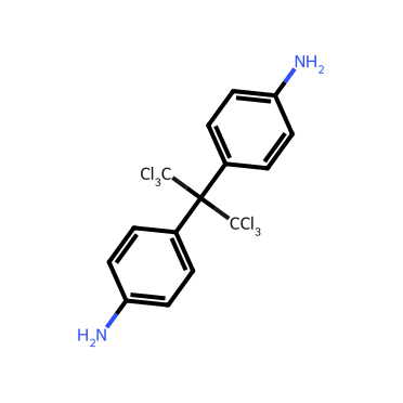 Nc1ccc(C(c2ccc(N)cc2)(C(Cl)(Cl)Cl)C(Cl)(Cl)Cl)cc1